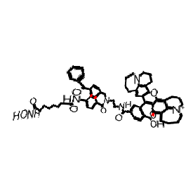 O=C(CCCCCCC(=O)Nc1ccc(C(=O)N(CCNC(=O)c2ccc(C(=O)O)c(C3=c4cc5c6c(c4Oc4c3cc3c7c4CCCN7CCCC3)CCC[N+]=6CCCC5)c2)Cc2ccc(C(=O)c3ccccc3)cc2)cc1)NO